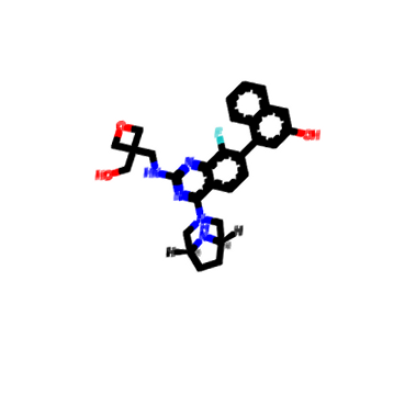 OCC1(CNc2nc(N3C[C@H]4CC[C@@H](C3)N4)c3ccc(-c4cc(O)cc5ccccc45)c(F)c3n2)COC1